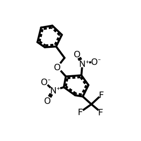 O=[N+]([O-])c1cc(C(F)(F)F)cc([N+](=O)[O-])c1OCc1ccccc1